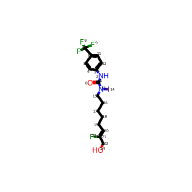 O=C(Nc1ccc(C(F)(F)F)cc1)N(I)CCCCCC=C(F)CO